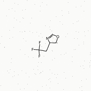 FC(F)(F)CC1[C]O[C]=N1